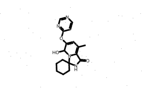 CC1=C2C(=O)NC3(CCCCC3)N2C(O)C(Oc2ccncn2)=C1